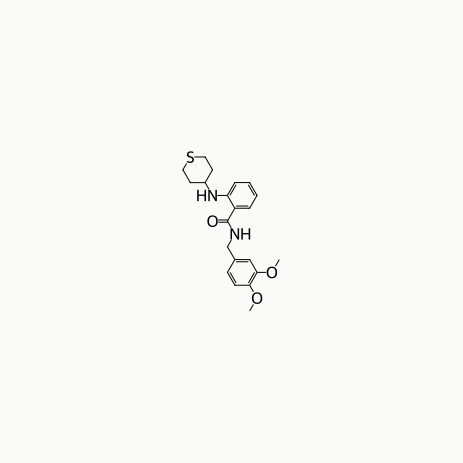 COc1ccc(CNC(=O)c2ccccc2NC2CCSCC2)cc1OC